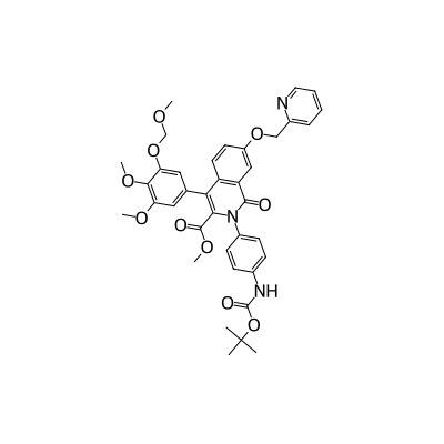 COCOc1cc(-c2c(C(=O)OC)n(-c3ccc(NC(=O)OC(C)(C)C)cc3)c(=O)c3cc(OCc4ccccn4)ccc23)cc(OC)c1OC